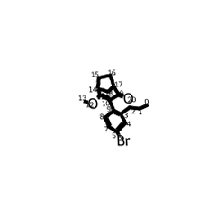 CCCc1cc(Br)ccc1C1=C(OC)C2CCC(C2)C1=O